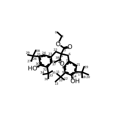 CCOC(=O)C(Cc1cc(C(C)(C)C)c(O)c(C(C)(C)C)c1)(Cc1cc(C(C)(C)C)c(O)c(C(C)(C)C)c1)C(C)=O